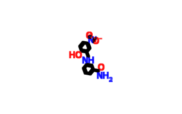 NC(=O)c1cccc(NCc2cc([N+](=O)[O-])ccc2O)c1